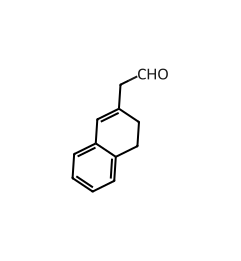 O=CCC1=Cc2ccccc2CC1